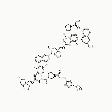 C=CC(=O)N1CC[C@@H](N(C)c2nc(OC[C@@]34CCCN3C(c3cc(Cl)c5c(-c6ncc7c(N(C)[C@@H]8CCN(C(=O)/C=C/c9nc(C%10COC%10)no9)C8)nc(OC[C@@]89CCCN8C[C@H](F)C9)nc7c6F)cccc5c3)[C@H](F)C4)nc3c(F)c(-c4cc(O)cc5ccccc45)ncc23)C1